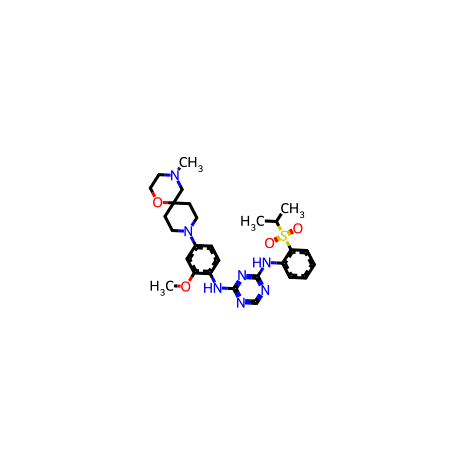 COc1cc(N2CCC3(CC2)CN(C)CCO3)ccc1Nc1ncnc(Nc2ccccc2S(=O)(=O)C(C)C)n1